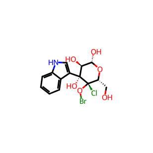 OC[C@H]1O[C@@H](O)[C@H](O)[C@](O)(c2c[nH]c3ccccc23)[C@@]1(Cl)OBr